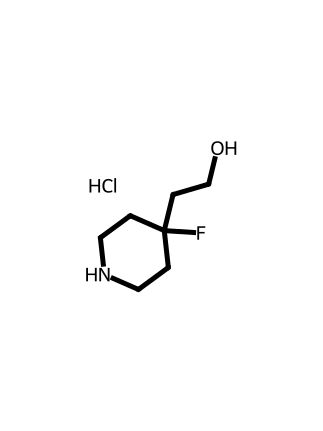 Cl.OCCC1(F)CCNCC1